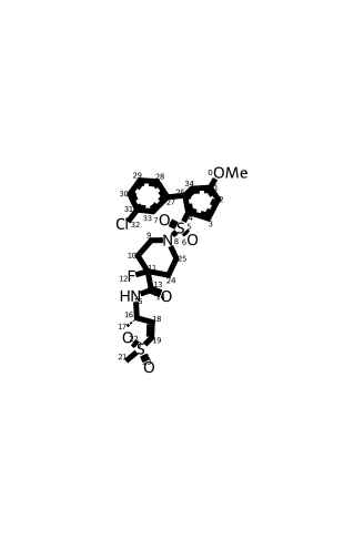 COc1ccc(S(=O)(=O)N2CCC(F)(C(=O)N[C@@H](C)/C=C\S(C)(=O)=O)CC2)c(-c2cccc(Cl)c2)c1